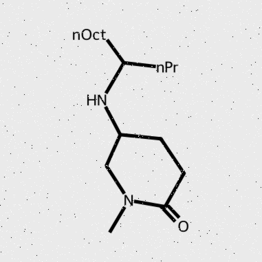 CCCCCCCCC(CCC)NC1CCC(=O)N(C)C1